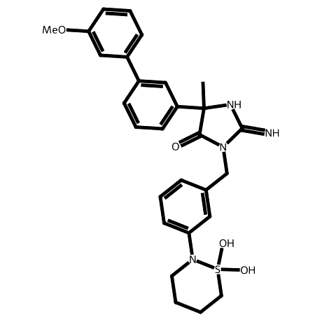 COc1cccc(-c2cccc(C3(C)NC(=N)N(Cc4cccc(N5CCCCS5(O)O)c4)C3=O)c2)c1